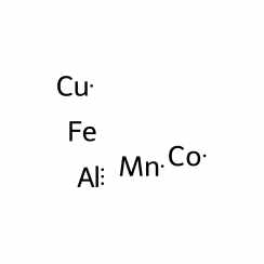 [Al].[Co].[Cu].[Fe].[Mn]